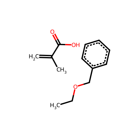 C=C(C)C(=O)O.CCOCc1ccccc1